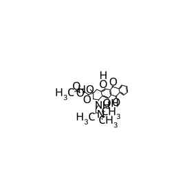 CC(=O)OCC(=O)C1(O)Cc2c(O)c3c(c(O)c2C(NCC(C)N(C)C)C1)C(=O)c1ccccc1C3=O